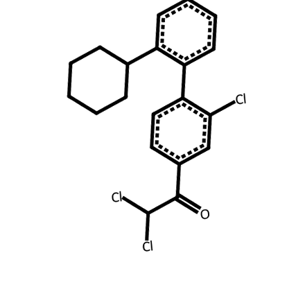 O=C(c1ccc(-c2ccccc2C2CCCCC2)c(Cl)c1)C(Cl)Cl